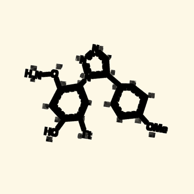 CCc1cc(-n2nncc2-c2ccc(OC)cc2)c(ON)cc1O